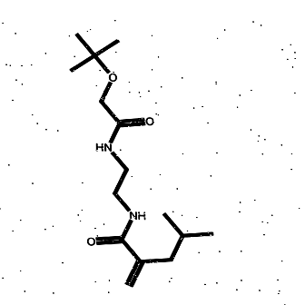 C=C(CC(C)C)C(=O)NCCNC(=O)COC(C)(C)C